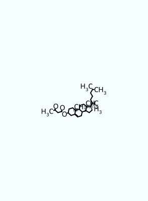 CC(=O)CC(=O)OC1CC[C@@]2(C)C(=CCC3C2CC[C@@]2(C)C3CC[C@@H]2[C@H](C)CCCC(C)C)C1